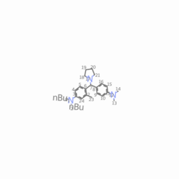 CCCCN(CCCC)c1ccc(C(c2ccc(N(C)C)cc2)N2CCCC2)c(C)c1